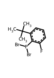 CC(C)(C)c1cccc(F)c1P(Br)Br